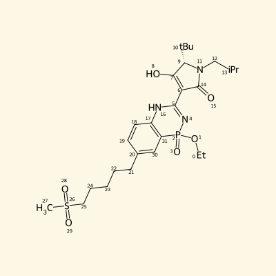 CCOP1(=O)N=C(C2=C(O)[C@H](C(C)(C)C)N(CC(C)C)C2=O)Nc2ccc(CCCCCS(C)(=O)=O)cc21